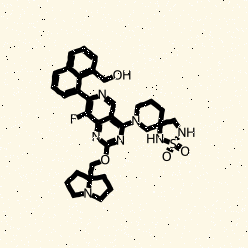 O=S1(=O)NCC2(CCCN(c3nc(OCC45CCCN4CCC5)nc4c(F)c(-c5cccc6cccc(CO)c56)ncc34)C2)N1